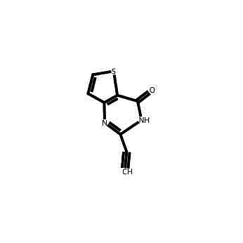 C#Cc1nc2ccsc2c(=O)[nH]1